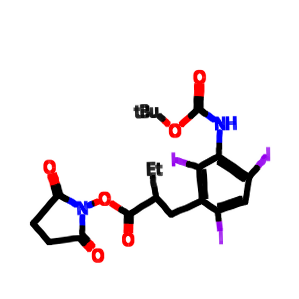 CCC(Cc1c(I)cc(I)c(NC(=O)OC(C)(C)C)c1I)C(=O)ON1C(=O)CCC1=O